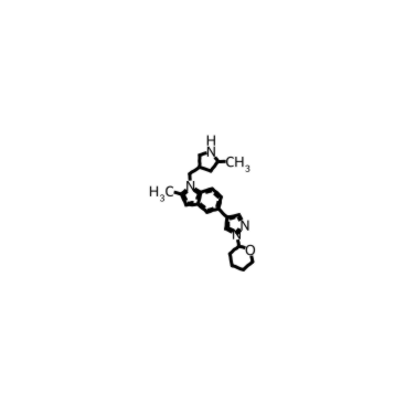 Cc1cc2cc(-c3cnn(C4CCCCO4)c3)ccc2n1CC1CNC(C)C1